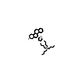 CCCC[N+](CCCC)(CCCC)CCCC.[I-].c1ccc2c(c1)ccc1c3c(ccc12)CCCC3.c1ccoc1